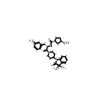 CN[C@@H]1CC[C@H](C(=O)N[C@@H](Cc2cccc(C(F)(F)F)c2)C(=O)N2CCC(N3C(=O)C(C)(C)c4ccccc43)CC2)C1